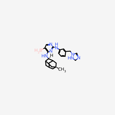 Bc1cnc(Nc2cccc(CN3C=NCN3)c2)nc1N[C@H]1C2CC3CC1C[C@@](C)(C3)C2